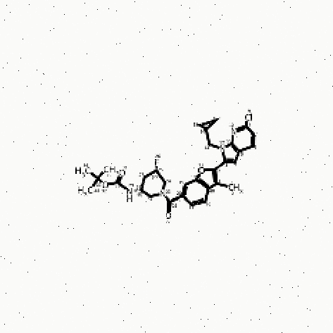 Cc1c(-c2cc3ccc(Cl)nc3n2CC2CC2)oc2cc(C(=O)N3C[C@H](F)C[C@@H](NC(=O)OC(C)(C)C)C3)ccc12